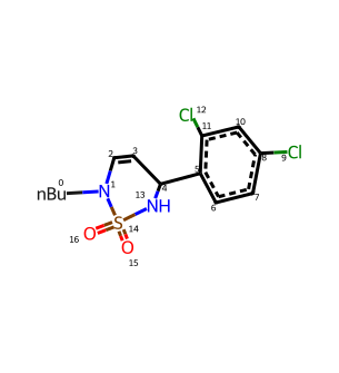 CCCCN1C=CC(c2ccc(Cl)cc2Cl)NS1(=O)=O